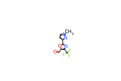 Cn1ccc(-c2nc(C(F)(F)F)c(C=O)o2)n1